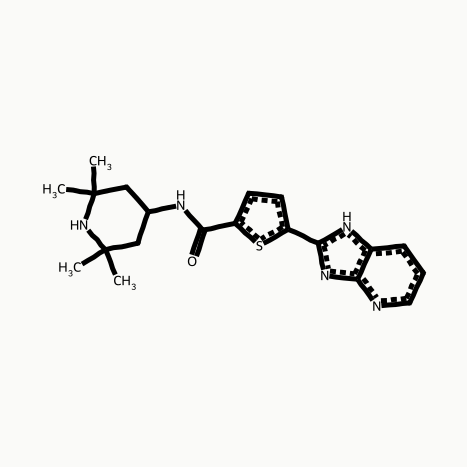 CC1(C)CC(NC(=O)c2ccc(-c3nc4ncccc4[nH]3)s2)CC(C)(C)N1